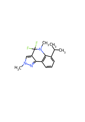 CC(C)c1cccc2c1N(C)C(F)(F)c1cn(C)nc1-2